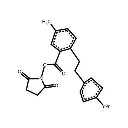 CCCc1ccc(CCc2ccc(C)cc2C(=O)ON2C(=O)CCC2=O)cc1